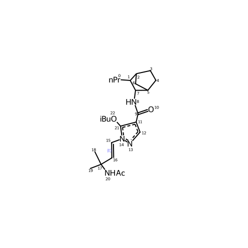 CCCC1C2CCC(C2)C1NC(=O)c1cnn(/C=C/C(C)(C)NC(C)=O)c1OCC(C)C